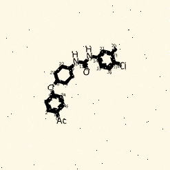 CC(=O)c1ccc(OC2CCC(NC(=O)Nc3ccc(Cl)c(C)c3)CC2)cc1